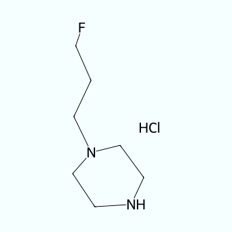 Cl.FCCCN1CCNCC1